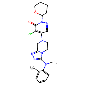 CN(c1ccccc1C(F)(F)F)c1nnc2n1CCN(c1cnn(C3CCCCO3)c(=O)c1Cl)C2